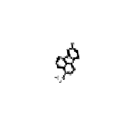 Bc1ccc2c3c(cccc13)-c1cc(C)ccc1-2